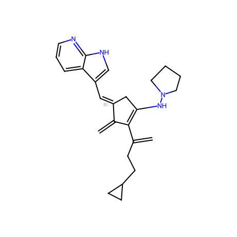 C=C(CCC1CC1)C1=C(NN2CCCC2)C/C(=C\c2c[nH]c3ncccc23)C1=C